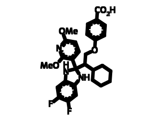 COc1ccc(C2(C(COc3ccc(C(=O)O)cc3)C3CCCCC3)Nc3cc(F)c(F)cc3N2)c(OC)n1